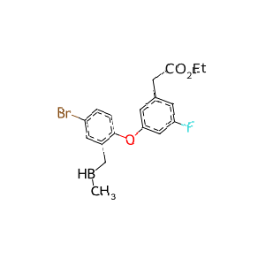 CBCc1cc(Br)ccc1Oc1cc(F)cc(CC(=O)OCC)c1